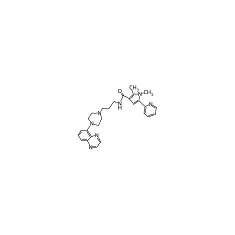 Cc1c(C(=O)NCCCN2CCN(c3cccc4nccnc34)CC2)cc(-c2ccccn2)n1C